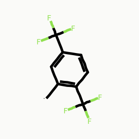 [CH2]c1cc(C(F)(F)F)ccc1C(F)(F)F